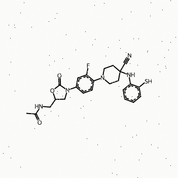 CC(=O)NCC1CN(c2ccc(N3CCC(C#N)(Nc4ccccc4S)CC3)c(F)c2)C(=O)O1